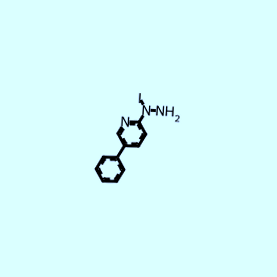 NN(I)c1ccc(-c2ccccc2)cn1